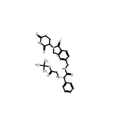 CC(C)(C)OC(=O)CN[C@H](C(=O)NCc1ccc2c(c1)CN(C1CCC(=O)NC1=O)C2=O)c1ccccc1